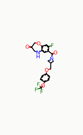 O=C1CNc2cc(C(=O)N3CC(COc4ccc(OC(F)(F)F)cc4)C3)c(F)cc2OC1